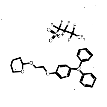 O=S(=O)([O-])C(F)(F)C(F)(F)C(F)(F)C(F)(F)F.c1ccc([S+](c2ccccc2)c2ccc(OCCOC3CCCCO3)cc2)cc1